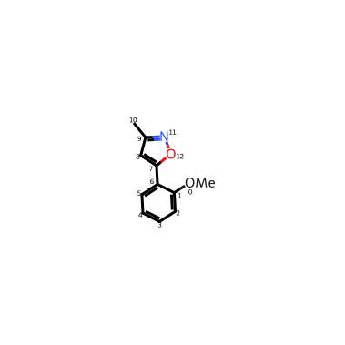 COc1ccccc1-c1cc(C)no1